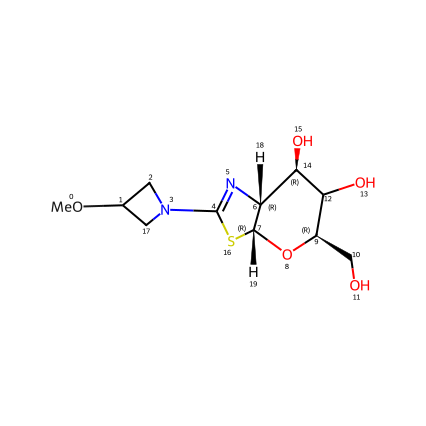 COC1CN(C2=N[C@H]3[C@H](O[C@H](CO)C(O)[C@@H]3O)S2)C1